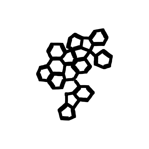 c1ccc(-c2cccc3cccc(-c4ccccc4N(c4ccc(C5(c6ccccc6)c6ccccc6-c6ccccc65)cc4)c4cccc5c4oc4ccccc45)c23)cc1